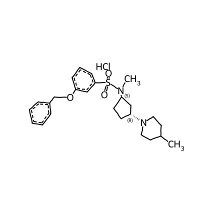 CC1CCN([C@@H]2CC[C@H](N(C)S(=O)(=O)c3cccc(OCc4ccccc4)c3)C2)CC1.Cl